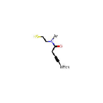 CCCCCCC#CCC(=O)N(CCS)C(C)=O